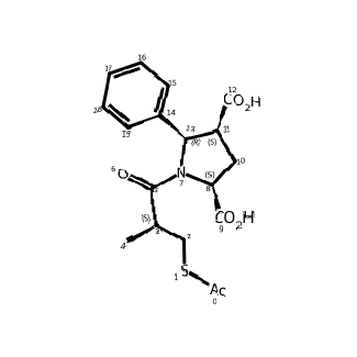 CC(=O)SC[C@@H](C)C(=O)N1[C@H](C(=O)O)C[C@H](C(=O)O)[C@@H]1c1ccccc1